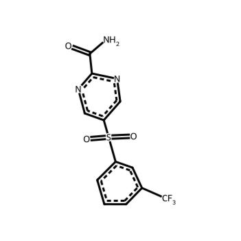 NC(=O)c1ncc(S(=O)(=O)c2cccc(C(F)(F)F)c2)cn1